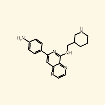 Nc1ccc(-c2cc3nccnc3c(NCC3CCCNC3)n2)cc1